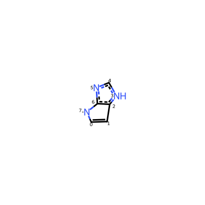 C1=Cc2[nH]cnc2[N]1